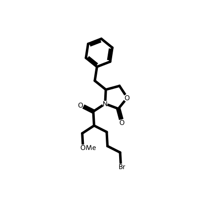 COCC(CCCBr)C(=O)N1C(=O)OCC1Cc1ccccc1